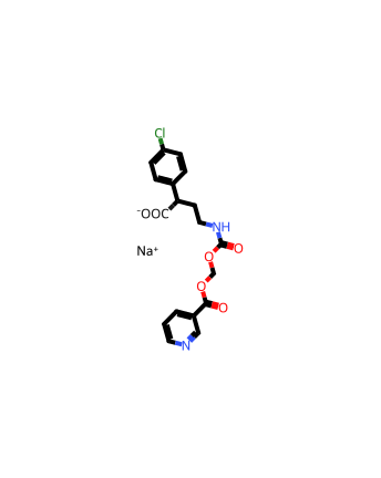 O=C(NCCC(C(=O)[O-])c1ccc(Cl)cc1)OCOC(=O)c1cccnc1.[Na+]